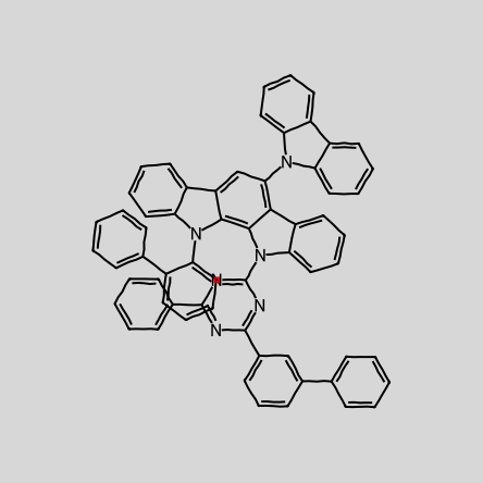 c1ccc(-c2cccc(-c3nc(-c4ccccc4)nc(-n4c5ccccc5c5c(-n6c7ccccc7c7ccccc76)cc6c7ccccc7n(-c7ccccc7-c7ccccc7)c6c54)n3)c2)cc1